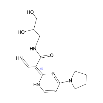 N=C/C(C(=O)NCC(O)CO)=C1/N=C(N2CCCC2)C=CN1